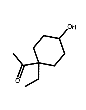 CCC1(C(C)=O)CCC(O)CC1